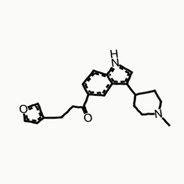 CN1CCC(c2c[nH]c3ccc(C(=O)CCc4ccoc4)cc23)CC1